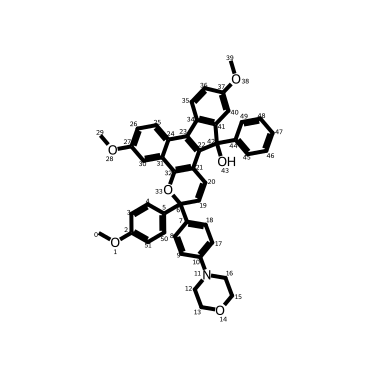 COc1ccc(C2(c3ccc(N4CCOCC4)cc3)C=Cc3c4c(c5ccc(OC)cc5c3O2)-c2ccc(OC)cc2C4(O)c2ccccc2)cc1